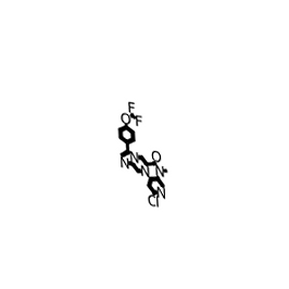 CN(C(=O)c1cn2c(-c3ccc(OC(F)F)cc3)cnc2cn1)c1ccc(Cl)nc1